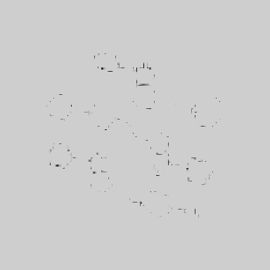 CN1CCN(CCC2CCc3c2cnn3-c2ccccc2)CC1.c1ccc(-n2ncc3c2CCC3CCN2CCN(C3CCCCC3)CC2)cc1.c1ccc(-n2ncc3c2CCCC3CCN2CCCCCC2)cc1